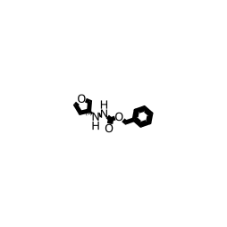 O=C(NN[C@H]1CCOC1)OCc1ccccc1